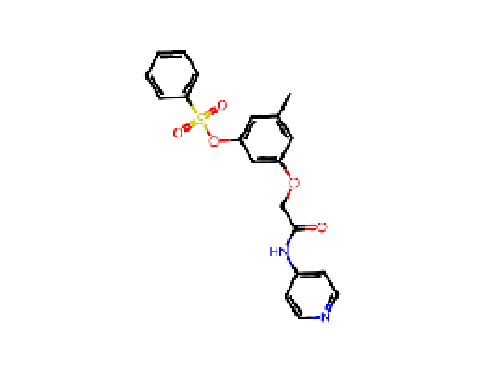 Cc1cc(OCC(=O)Nc2ccncc2)cc(OS(=O)(=O)c2ccccc2)c1